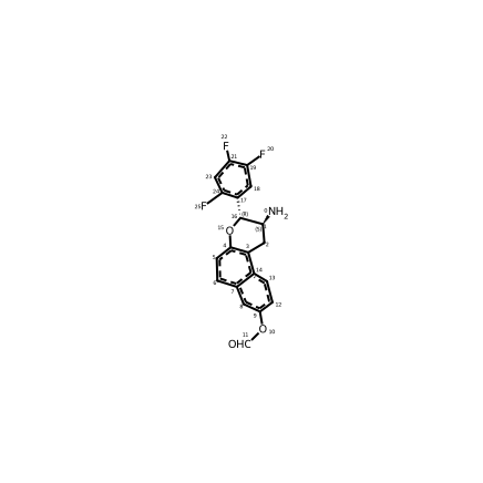 N[C@H]1Cc2c(ccc3cc(OC=O)ccc23)O[C@@H]1c1cc(F)c(F)cc1F